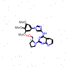 COc1cc(-n2cnc(Nc3nc(N4CCC[C@H]4CO)nc4ncccc34)c2)cc(OC)c1OC